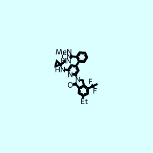 CCc1cc2c(c(C(C)(F)F)c1)CN(c1cc(-c3ccccc3C(=N)NC)cc(NC3(CC#N)CC3)n1)C2=O